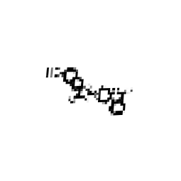 O=C1OC2(CCN(C3=NC(=O)C4(Cc5ccc(O)cc5C4)O3)CC2)c2ccccc21